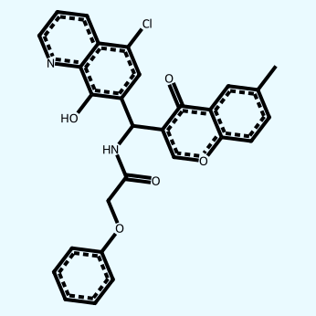 Cc1ccc2occ(C(NC(=O)COc3ccccc3)c3cc(Cl)c4cccnc4c3O)c(=O)c2c1